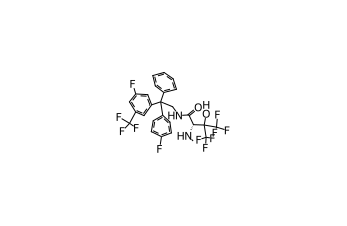 CN[C@H](C(=O)NCC(c1ccccc1)(c1ccc(F)cc1)c1cc(F)cc(C(F)(F)F)c1)C(O)(C(F)(F)F)C(F)(F)F